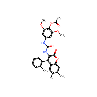 COc1cc(NC(=O)Nc2c(-c3ccccc3C)c3cc(C)c(C)cc3oc2=O)cc(OC)c1OC(C)=O